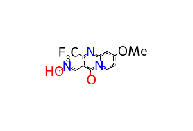 COc1ccn2c(=O)c(C=NO)c(C(F)(F)F)nc2c1